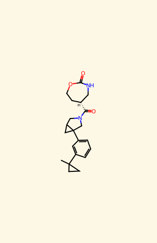 CC1(c2cccc(C34CC3CN(C(=O)[C@@H]3CCOC(=O)NC3)C4)c2)CC1